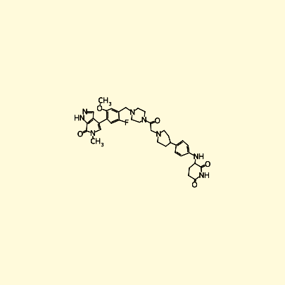 COc1cc(CN2CCN(C(=O)CN3CCC(c4ccc(NC5CCC(=O)NC5=O)cc4)CC3)CC2)c(F)cc1-c1cn(C)c(=O)c2[nH]ncc12